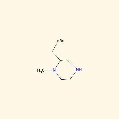 CCCCCC1CNCCN1C